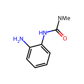 CNC(=O)Nc1ccccc1N